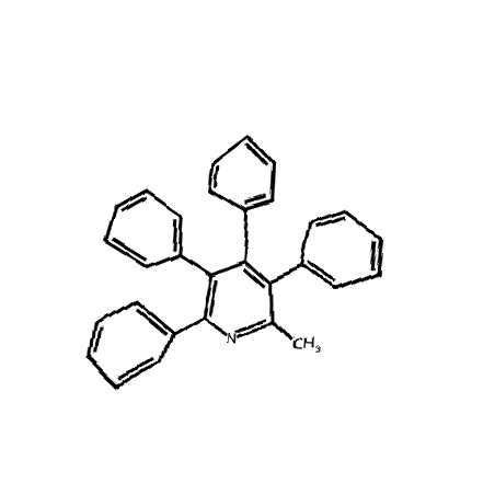 Cc1nc(-c2ccccc2)c(-c2ccccc2)c(-c2ccccc2)c1-c1ccccc1